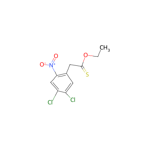 CCOC(=S)Cc1cc(Cl)c(Cl)cc1[N+](=O)[O-]